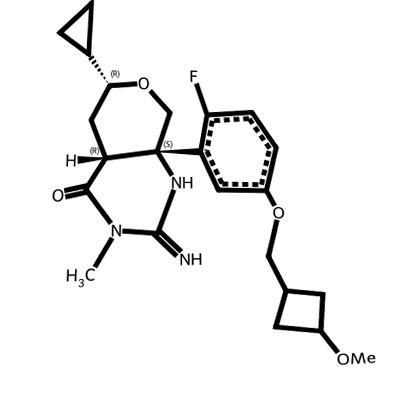 COC1CC(COc2ccc(F)c([C@]34CO[C@@H](C5CC5)C[C@H]3C(=O)N(C)C(=N)N4)c2)C1